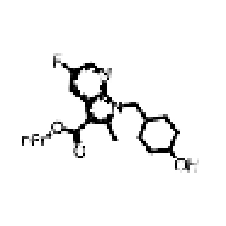 CCCOC(=O)c1c(C)n(CC2CCC(O)CC2)c2ncc(F)cc12